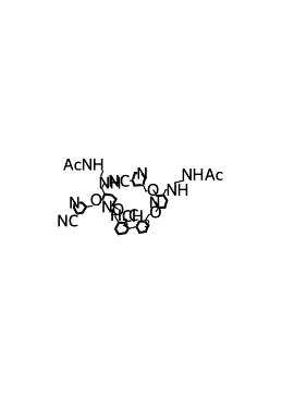 CC(=O)NCCNCc1ccc(OCc2cccc(-c3cccc(COc4ccc(CNCCNC(C)=O)c(OCc5cncc(C#N)c5)n4)c3C)c2C)nc1OCc1cncc(C#N)c1